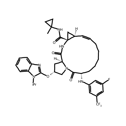 CC(C)n1c(O[C@@H]2C[C@H]3C(=O)N[C@]4(C(=O)NC5(C)CC5)C[C@H]4/C=C\CCCCC[C@H](Nc4cc(F)cc(C(F)(F)F)c4)C(=O)N3C2)nc2ccccc21